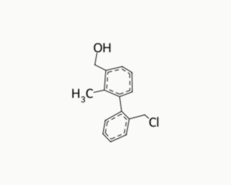 Cc1c(CO)cccc1-c1ccccc1CCl